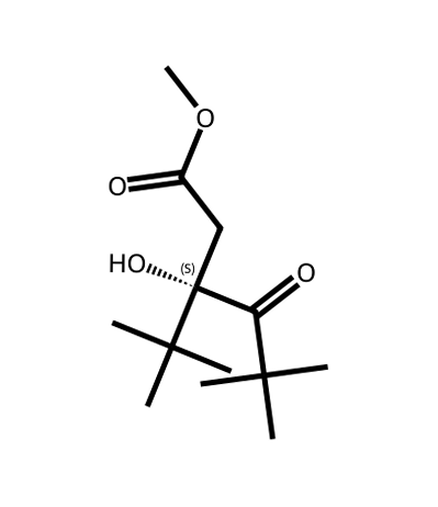 COC(=O)C[C@@](O)(C(=O)C(C)(C)C)C(C)(C)C